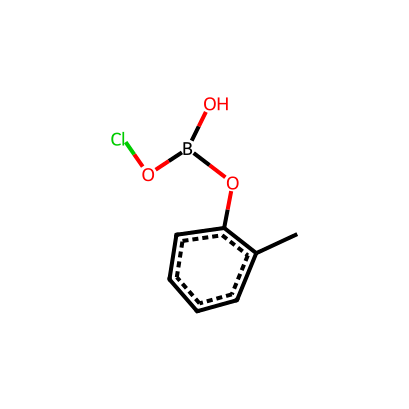 Cc1ccccc1OB(O)OCl